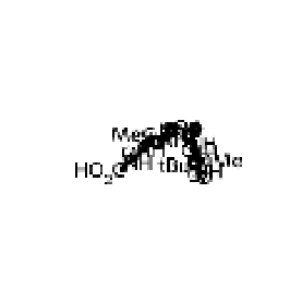 COc1cc(Nc2cc(Oc3ccc(NC(=O)Nc4cc(C(C)(C)C)cc(NS(C)(=O)=O)c4OC)c4ccccc34)ccn2)ccc1C(=O)NCCC(=O)NCCC(=O)O